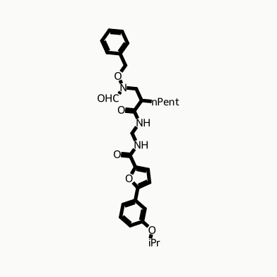 CCCCCC(CN(C=O)OCc1ccccc1)C(=O)NCNC(=O)c1ccc(-c2cccc(OC(C)C)c2)o1